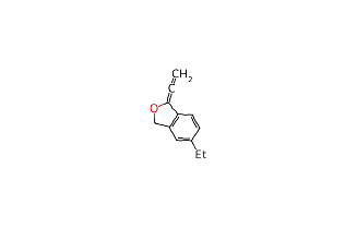 C=C=C1OCc2cc(CC)ccc21